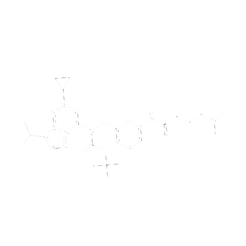 CC(C)c1cnn2c(N(Cc3cccc(NC(=O)C=CCN(C)C)c3)C(=O)OC(C)(C)C)cc(C3CC3)nc12